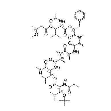 C=C(C(=O)N[C@@H](C)C(=O)N(C)[C@@H](C)C(=O)N[C@H](C(=O)NC)[C@H](OC(=O)[C@@H](NC(=O)CC)[C@H](OC(C)(C)C)C(C)C)C(C)C)N(C)C(=O)[C@@H](Cc1ccccc1)OC(=O)[C@@H](NC(C)=O)C(OC(=O)C[C@@H](C)OC)C(C)C